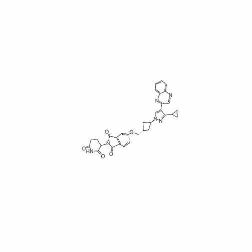 O=C1CCC(N2C(=O)c3ccc(OC[C@H]4C[C@H](n5cc(-c6cnc7ccccc7n6)c(C6CC6)n5)C4)cc3C2=O)C(=O)N1